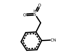 N#Cc1ccccc1C[SH](=O)=O